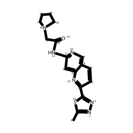 Cc1nnc(-c2ccc3cnc(NC(=O)CN4CCCC4)cc3n2)s1